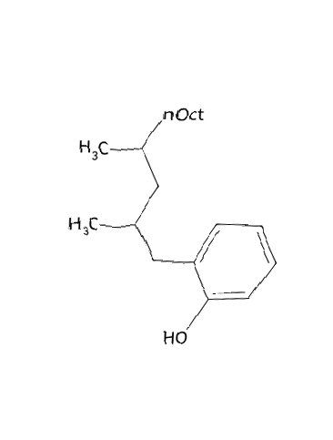 CCCCCCCCC(C)CC(C)Cc1ccccc1O